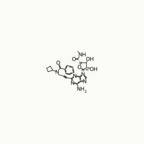 CNC(=O)[C@H]1O[C@@H](n2cnc3c(N)nc(C#CCN(C(=O)c4ccccc4)C4CCC4)nc32)[C@H](O)C1O